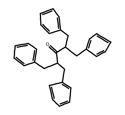 O=C(C(Cc1ccccc1)Cc1ccccc1)C(Cc1ccccc1)Cc1ccccc1